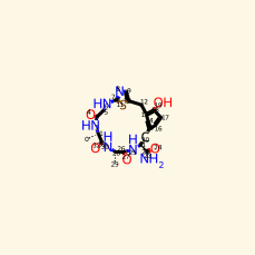 C[C@@H]1NC(=O)CNc2ncc(s2)Cc2cc(ccc2O)C[C@@H](C(N)=O)NC(=O)[C@H](C)NC1=O